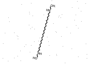 OCCNCCCCCCCCCCCCCCCCCCCCCCCCNCCO